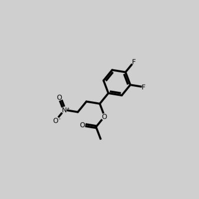 CC(=O)OC(CC[N+](=O)[O-])c1ccc(F)c(F)c1